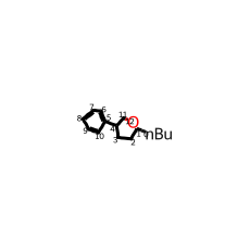 CCCCC1CCC(c2ccccc2)CO1